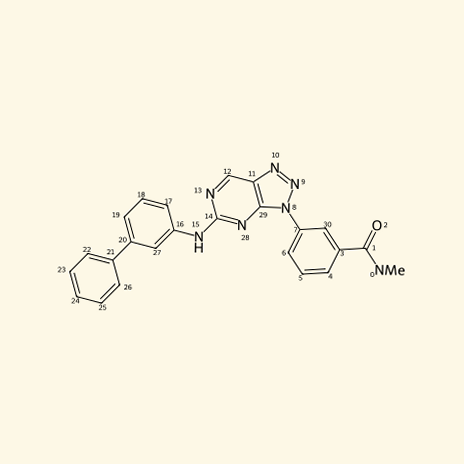 CNC(=O)c1cccc(-n2nnc3cnc(Nc4cccc(-c5ccccc5)c4)nc32)c1